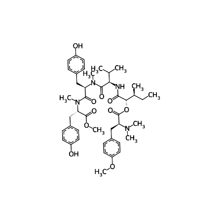 CC[C@H](C)[C@H](OC(=O)[C@H](Cc1ccc(OC)cc1)N(C)C)C(=O)N[C@@H](C(=O)N(C)[C@H](Cc1ccc(O)cc1)C(=O)N(C)[C@@H](Cc1ccc(O)cc1)C(=O)OC)C(C)C